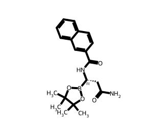 CC1(C)OB([C@@H](CC(N)=O)NC(=O)c2ccc3ccccc3c2)OC1(C)C